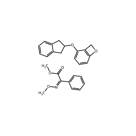 CON=C(C(=O)OC)c1ccccc1.c1ccc2c(c1)CC(Oc1cccc3c1CO3)C2